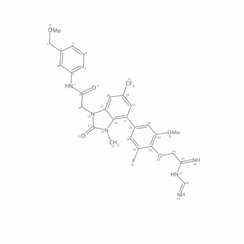 COCc1cccc(NC(=O)Cn2c(=O)n(C)c3c(-c4cc(F)c(OCC(=N)NC=N)c(OC)c4)cc(C(F)(F)F)cc32)c1